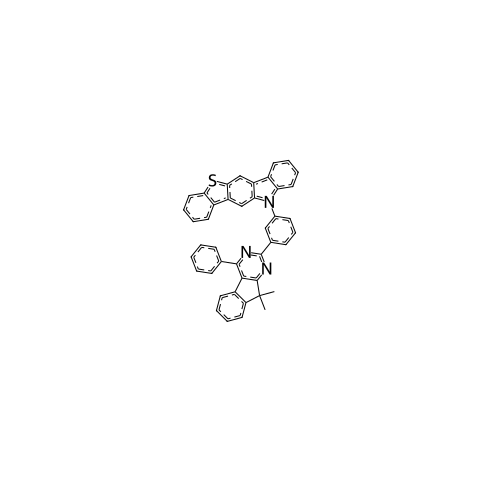 CC1(C)c2ccccc2-c2c(-c3ccccc3)nc(-c3cccc(-n4c5ccccc5c5cc6sc7ccccc7c6cc54)c3)nc21